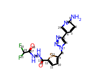 Nc1ccc(-c2cn(Cc3ccc(C(=O)NNC(=O)C(F)F)s3)nn2)cn1